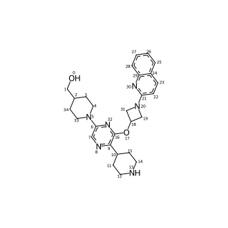 OCC1CCN(c2cnc(C3CCNCC3)c(OC3CN(c4ccc5ccccc5n4)C3)n2)CC1